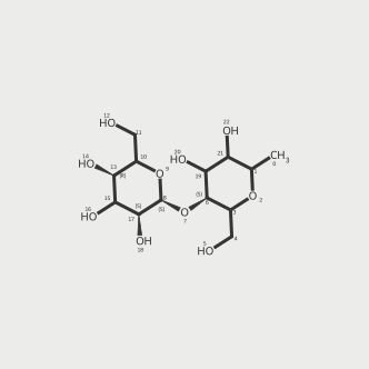 CC1OC(CO)[C@@H](O[C@@H]2OC(CO)[C@H](O)C(O)[C@@H]2O)C(O)C1O